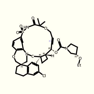 CCO[C@H]1CCN(C(=O)O[C@H]2/C=C/COC(C)(C)C(=O)NS(=O)(=O)c3ccc4c(c3)N(C[C@@H]3CC[C@H]32)C[C@@]2(CCCc3cc(Cl)ccc32)CO4)C1